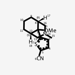 COC1(c2ccc(C#N)s2)[C@@H]2CCC[C@H]1CN(C)C2